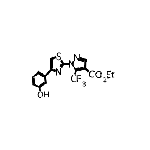 CCOC(=O)c1cnn(-c2nc(-c3cccc(O)c3)cs2)c1C(F)(F)F